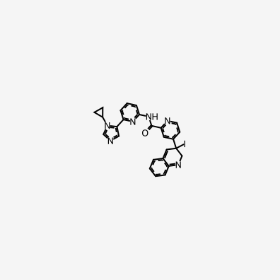 O=C(Nc1cccc(-c2cncn2C2CC2)n1)c1cc(C2(I)C=c3ccccc3=NC2)ccn1